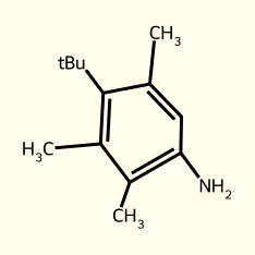 Cc1cc(N)c(C)c(C)c1C(C)(C)C